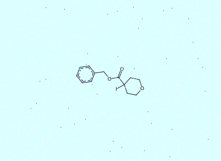 O=C(OCc1ccccc1)C1(I)CCOCC1